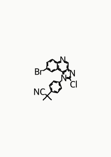 CC(C)(C#N)c1ccc(-n2c(Cl)nc3cnc4ccc(Br)cc4c32)cc1